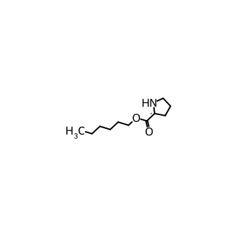 CCCCCCOC(=O)[C]1CCCN1